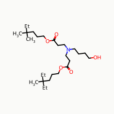 CCC(C)(C)CCCOC(=O)CCN(CCCCO)CCC(=O)OCCCC(C)(CC)CC